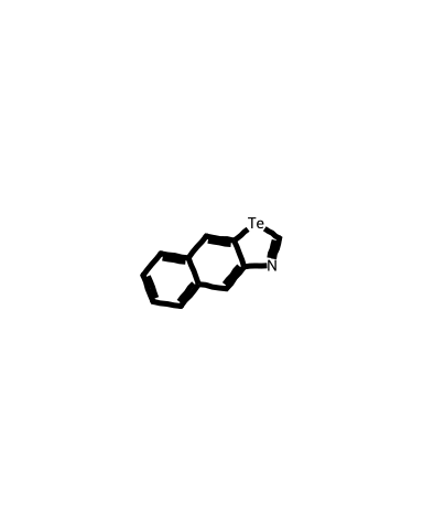 c1ccc2cc3[te]cnc3cc2c1